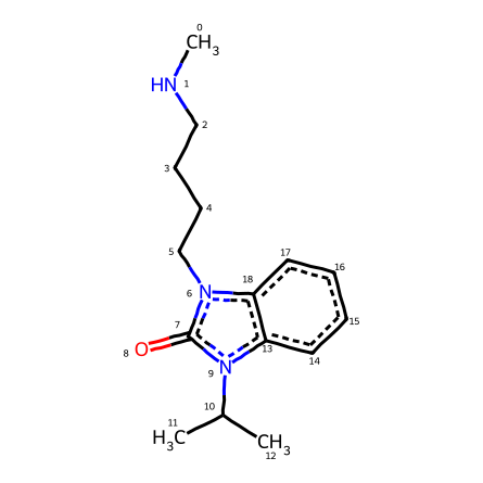 CNCCCCn1c(=O)n(C(C)C)c2ccccc21